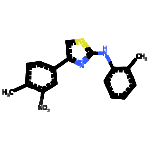 Cc1ccccc1Nc1nc(-c2ccc(C)c([N+](=O)[O-])c2)cs1